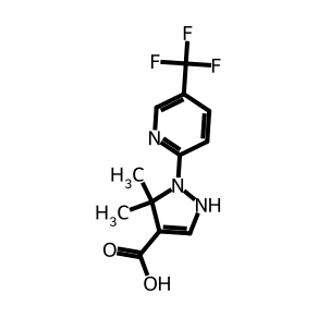 CC1(C)C(C(=O)O)=CNN1c1ccc(C(F)(F)F)cn1